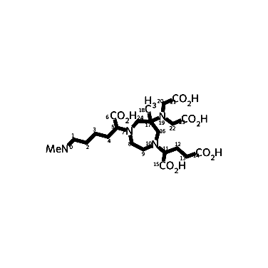 CNCCCCC(C(=O)O)N1CCN(C(CCC(=O)O)C(=O)O)CC(C)(N(CC(=O)O)CC(=O)O)C1